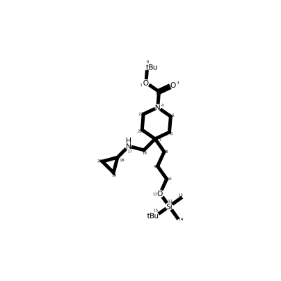 CC(C)(C)OC(=O)N1CCC(CCCO[Si](C)(C)C(C)(C)C)(CNC2CC2)CC1